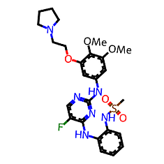 COc1cc(Nc2ncc(F)c(Nc3ccccc3NS(C)(=O)=O)n2)cc(OCCN2CCCC2)c1OC